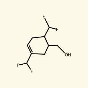 OCC1CC(C(F)F)=CCC1C(F)F